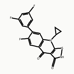 O=c1[nH]sc2c1c(=O)c1cc(F)c(-c3cc(F)cc(F)c3)cc1n2C1CC1